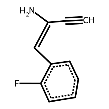 C#C/C(N)=C\c1ccccc1F